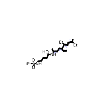 C=CC(=C\C=C(/C)NC(O)CCCCNS(=O)(=O)C(C)C)/C(=C/C=C(/C)CC)CC